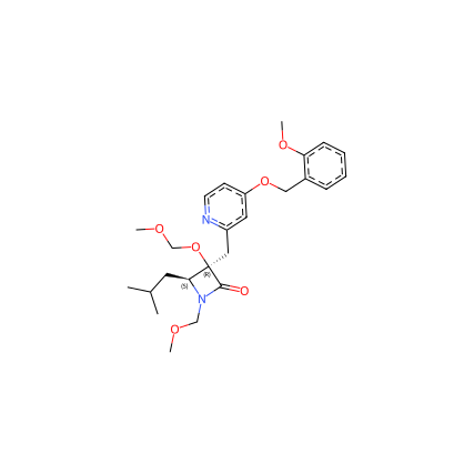 COCO[C@@]1(Cc2cc(OCc3ccccc3OC)ccn2)C(=O)N(COC)[C@H]1CC(C)C